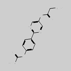 CCCCCCCCCCCC(=O)Oc1cnc(-c2ccc(OC(=O)CCCCCC)cc2)nc1